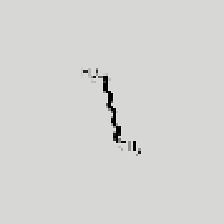 C=CCCCCC/C=C/C